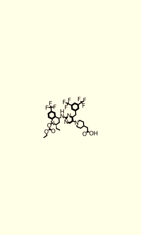 CCOC(=O)ON1c2ccc(C(F)(F)F)cc2[C@@H](Nc2ncc(N3CCC(CC(=O)O)CC3)c(Cc3cc(C(F)(F)F)cc(C(F)(F)F)c3)n2)C[C@H]1CC